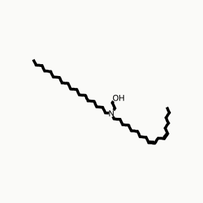 CCCCC/C=C\C/C=C\CCCCCCCCN(CCO)CCCCCCCCCCCCCCCCCC